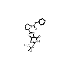 CC1(Oc2nc3sc(C4CCCN4C(=O)Oc4ccccc4)nc3c(=O)[nH]2)CC1